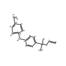 C=CCC(C)(CC)c1ccc(Oc2ccc(N)cn2)cc1